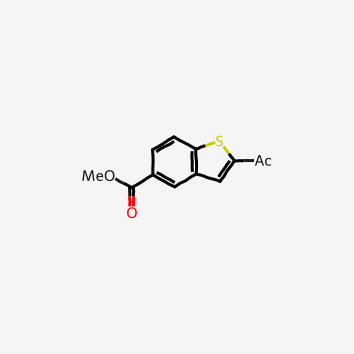 COC(=O)c1ccc2sc(C(C)=O)cc2c1